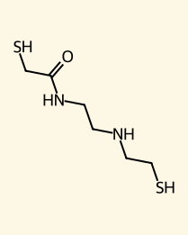 O=C(CS)NCCNCCS